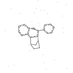 c1ccc(-c2nc3ccccc3c3c2C2CCC3C2)cc1